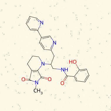 CN1C(=O)C2=C(C1=O)N(C(CNC(=O)c1ccccc1O)Cc1ccc(-c3ccccn3)cn1)CCC2